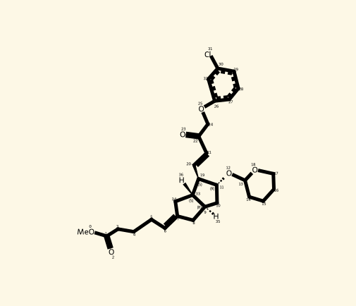 COC(=O)CCCC=C1C[C@@H]2C[C@@H](OC3CCCCO3)[C@H](C=CC(=O)COc3cccc(Cl)c3)[C@H]2C1